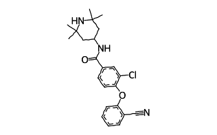 CC1(C)CC(NC(=O)c2ccc(Oc3ccccc3C#N)c(Cl)c2)CC(C)(C)N1